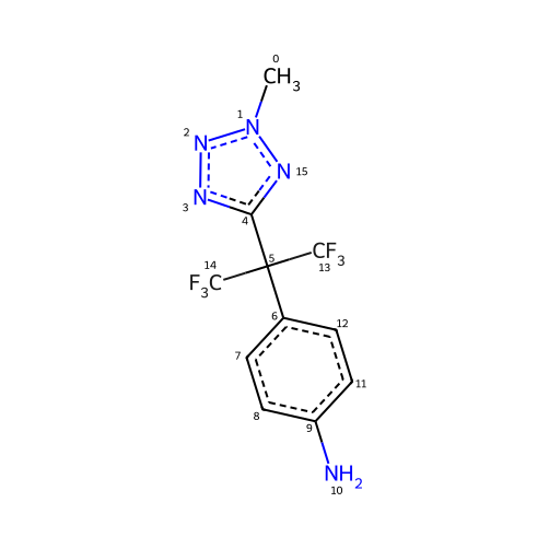 Cn1nnc(C(c2ccc(N)cc2)(C(F)(F)F)C(F)(F)F)n1